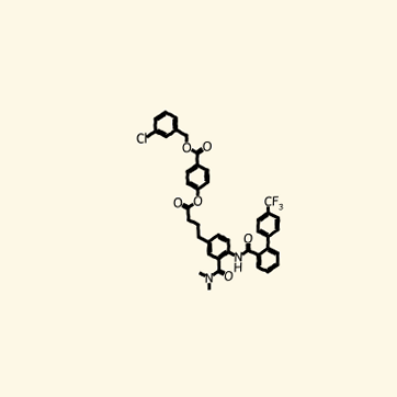 CN(C)C(=O)c1cc(CCCC(=O)Oc2ccc(C(=O)OCc3cccc(Cl)c3)cc2)ccc1NC(=O)c1ccccc1-c1ccc(C(F)(F)F)cc1